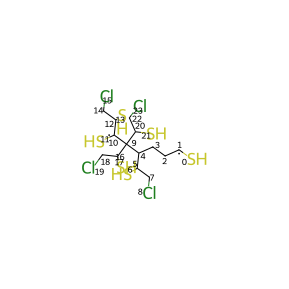 S[CH]CCC(C(S)CCl)C([C](S)C(S)CCl)(C(S)CCl)C(S)CCl